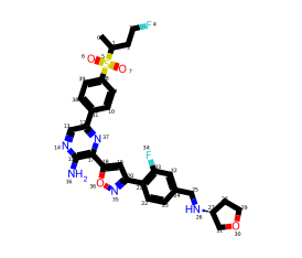 CC(CCF)S(=O)(=O)c1ccc(-c2cnc(N)c(-c3cc(-c4ccc(CN[C@@H]5CCOC5)cc4F)no3)n2)cc1